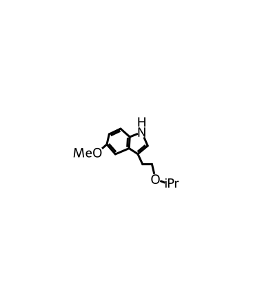 COc1ccc2[nH]cc(CCOC(C)C)c2c1